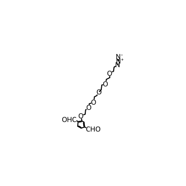 [N-]=[N+]=NCCOCCOCCOCCOCOCCOc1cc(C=O)ccc1C=O